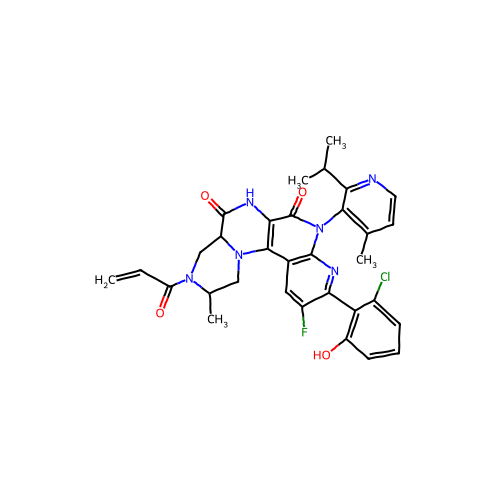 C=CC(=O)N1CC2C(=O)Nc3c(c4cc(F)c(-c5c(O)cccc5Cl)nc4n(-c4c(C)ccnc4C(C)C)c3=O)N2CC1C